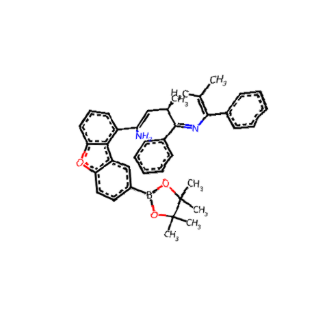 CC(C)=C(/N=C(/c1ccccc1)[C@H](C)/C=C(\N)c1cccc2oc3ccc(B4OC(C)(C)C(C)(C)O4)cc3c12)c1ccccc1